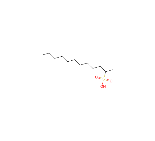 CCCCCCCCCCC(C)S(=O)(=O)O